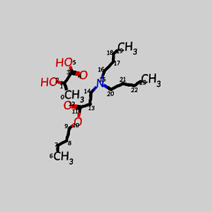 CC(O)C(=O)O.CCCCOC(=O)CCN(CCCC)CCCC